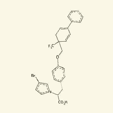 O=C(O)C(Cc1ccc(OCC2(C(F)(F)F)C=CC(c3ccccc3)=CC2)cc1)n1ccc(Br)c1